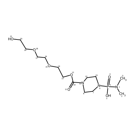 CN(C)P(=O)(O)N1CCN(C(=O)OCCOCCOCCO)CC1